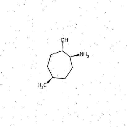 C[C@@H]1CC[C@H](N)[C@@H](O)CC1